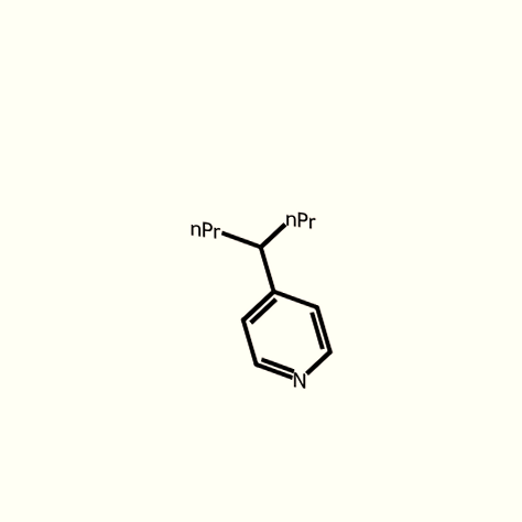 [CH2]CCC(CCC)c1ccncc1